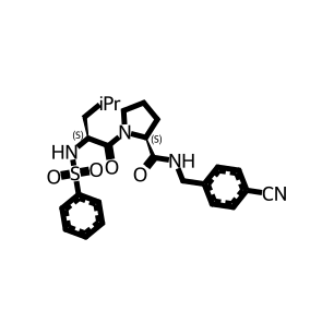 CC(C)C[C@H](NS(=O)(=O)c1ccccc1)C(=O)N1CCC[C@H]1C(=O)NCc1ccc(C#N)cc1